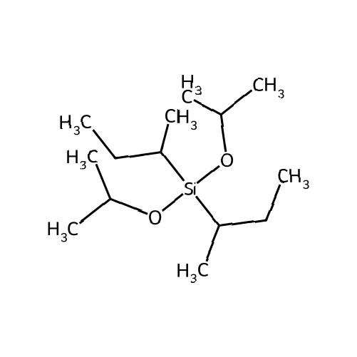 CCC(C)[Si](OC(C)C)(OC(C)C)C(C)CC